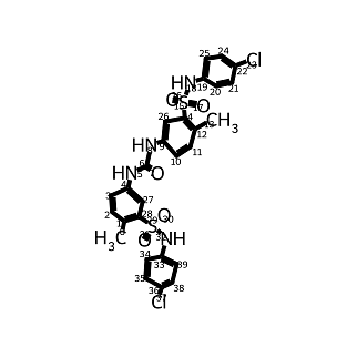 Cc1ccc(NC(=O)Nc2ccc(C)c(S(=O)(=O)Nc3ccc(Cl)cc3)c2)cc1S(=O)(=O)Nc1ccc(Cl)cc1